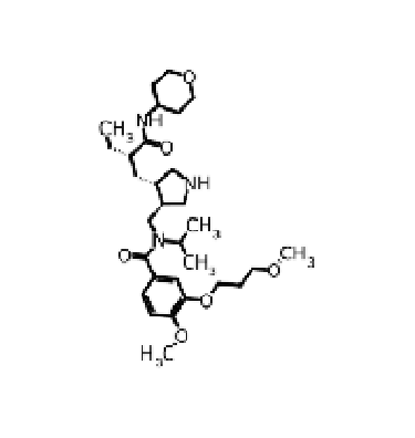 CC[C@@H](C[C@@H]1CNC[C@H]1CN(C(=O)c1ccc(OC)c(OCCCOC)c1)C(C)C)C(=O)NC1CCOCC1